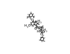 Cc1cc(OCc2c(F)cccc2F)n2nc(C)c(C(=O)NCC(C)(CF)NC(=O)OCc3ccccc3)c2c1